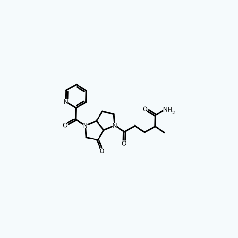 CC(C[CH]C(=O)N1CCC2C1C(=O)CN2C(=O)c1ccccn1)C(N)=O